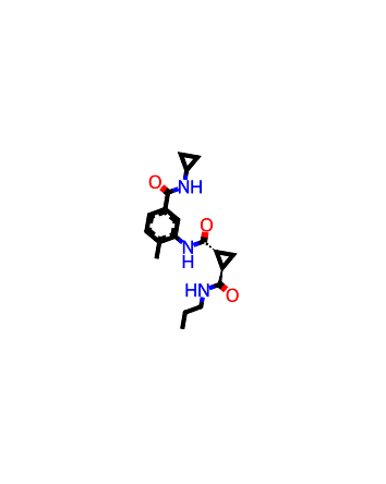 CCCNC(=O)[C@@H]1C[C@H]1C(=O)Nc1cc(C(=O)NC2CC2)ccc1C